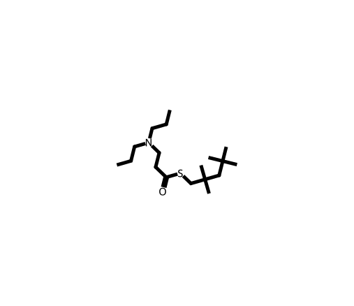 CCCN(CCC)CCC(=O)SCC(C)(C)CC(C)(C)C